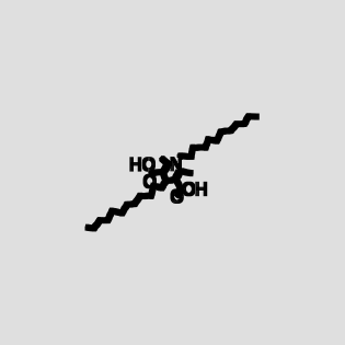 CCCCCCCCCCCCC1C(C(=O)O)=C(C)N(CCCCCCCCCCCC)C(C)=C1C(=O)O